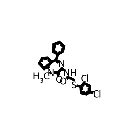 CN1C(=O)C(NC(=O)CSc2ccc(Cl)cc2Cl)N=C(c2ccccc2)c2ccccc21